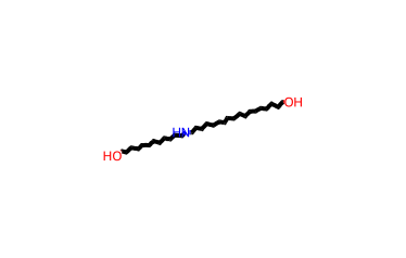 OCCCCCCCCCCCCCCCCCCNCCCCCCCCCCCCO